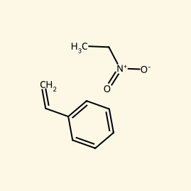 C=Cc1ccccc1.CC[N+](=O)[O-]